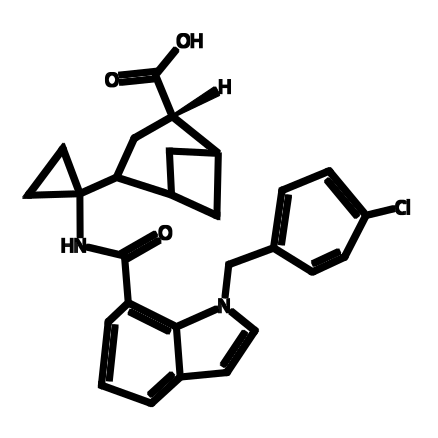 O=C(NC1(C2C[C@H](C(=O)O)C3CC2C3)CC1)c1cccc2ccn(Cc3ccc(Cl)cc3)c12